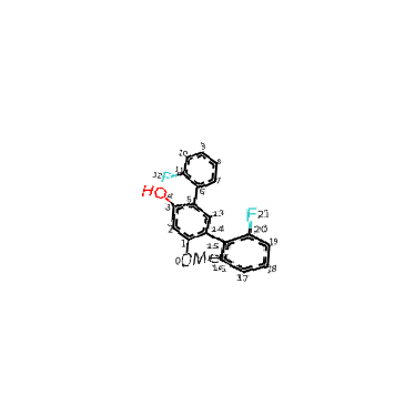 COc1cc(O)c(-c2ccccc2F)cc1-c1ccccc1F